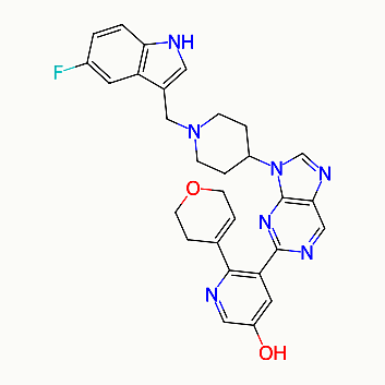 Oc1cnc(C2=CCOCC2)c(-c2ncc3ncn(C4CCN(Cc5c[nH]c6ccc(F)cc56)CC4)c3n2)c1